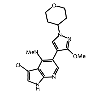 CNc1c(-c2cn(C3CCOCC3)nc2OC)cnc2[nH]cc(Cl)c12